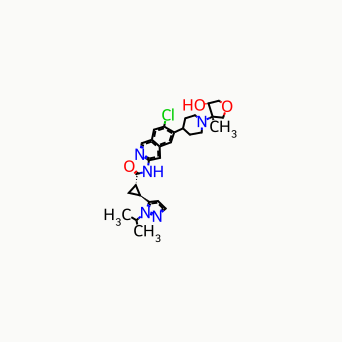 CC(C)n1nccc1[C@H]1C[C@@H]1C(=O)Nc1cc2cc(C3CCN([C@@]4(C)COC[C@H]4O)CC3)c(Cl)cc2cn1